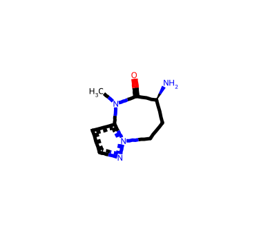 CN1C(=O)[C@@H](N)CCn2nccc21